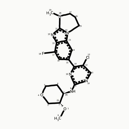 CO[C@@H]1COCC[C@H]1Nc1ncc(Cl)c(-c2cc(F)c3nc4n(c3c2)CCCN4C)n1